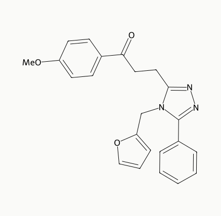 COc1ccc(C(=O)CCc2nnc(-c3ccccc3)n2Cc2ccco2)cc1